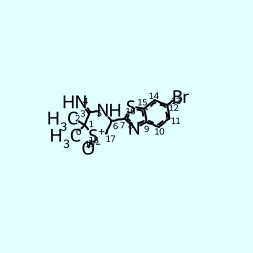 CC1(C)C(=N)NC(c2nc3ccc(Br)cc3s2)C[S+]1[O-]